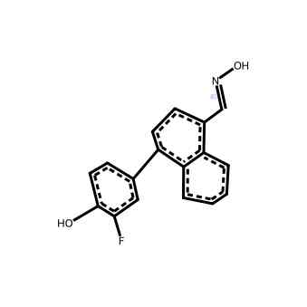 O/N=C/c1ccc(-c2ccc(O)c(F)c2)c2ccccc12